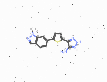 Cn1ncc2ccc(-c3ccc(-c4n[nH]nc4N)s3)cc21